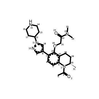 CC(=O)N1c2ccc(-c3cnn(C4CCNCC4)c3)c(OCC(=O)N(C)C)c2CC[C@@H]1C